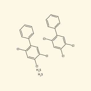 Clc1cc(Cl)c(-c2ccccc2)cc1Cl.Clc1cc(Cl)c(-c2ccccc2)cc1Cl.S.S